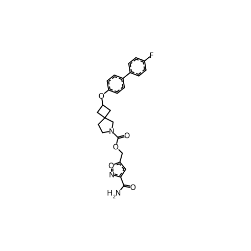 NC(=O)c1cc(COC(=O)N2CCC3(CC(Oc4ccc(-c5ccc(F)cc5)cc4)C3)C2)on1